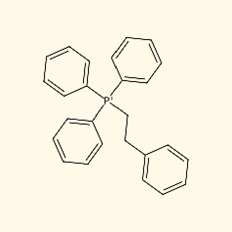 c1ccc(CC[P+](c2ccccc2)(c2ccccc2)c2ccccc2)cc1